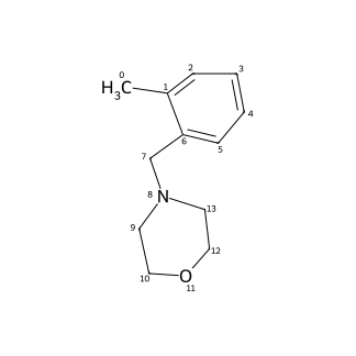 Cc1ccccc1CN1CCOCC1